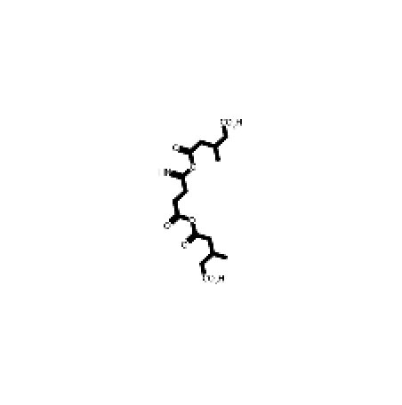 CC(CC(=O)O)CC(=O)OC(=N)CCC(=O)OC(=O)CC(C)CC(=O)O